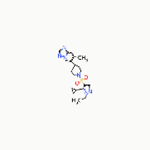 CCn1ncc(S(=O)(=O)N2CCC(c3cn4ncnc4cc3C)CC2)c1C1CC1